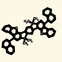 C[Si]1(C)c2cc3c(cc2-c2c1cc(-c1cccc4ccccc14)c1c2oc2ccccc21)[Si](C)(C)c1cc(-c2cccc4ccccc24)c2c(oc4ccccc42)c1-3